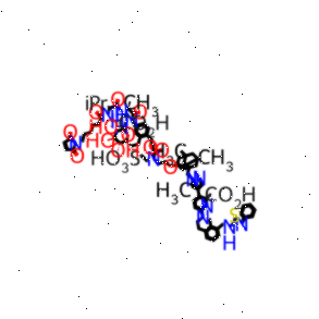 Cc1c(-c2ccc(N3CCc4cccc(CNc5nc6ccccc6s5)c4C3)nc2C(=O)O)cnn1CC12CC3(C)CC(C)(C1)CC(OCCN(CCS(=O)(=O)O)C(=O)OCc1ccc(NC(=O)[C@H](C)NC(=O)[C@@H](NC(=O)CCCCCN4C(=O)C=CC4=O)C(C)C)cc1CC[C@@H]1O[C@H](C(=O)O)[C@@H](O)[C@H](O)[C@H]1O)(C3)C2